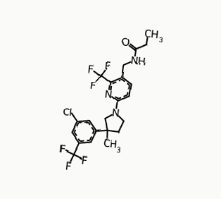 CCC(=O)NCc1ccc(N2CCC(C)(c3cc(Cl)cc(C(F)(F)F)c3)C2)nc1C(F)(F)F